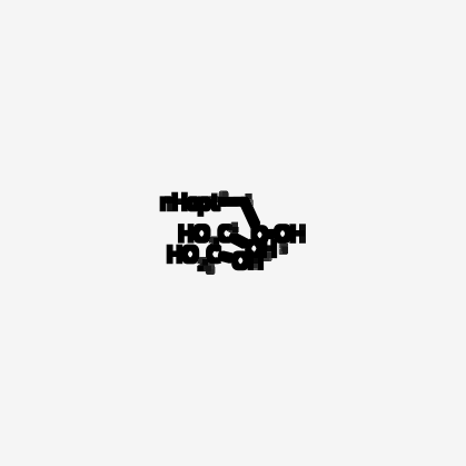 CCCCCCCCOO.O=C(O)O.O=C(O)O